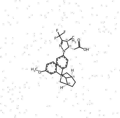 COc1cccc(N2C[C@H]3CC[C@@H](C2)C3Cc2ccc(N3N=C(C(F)(F)F)[C@@H](C)[C@@H]3CC(=O)O)cc2)c1